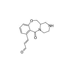 O=C/C=C/c1cccc2c1C(=O)N1CCNCC1CO2